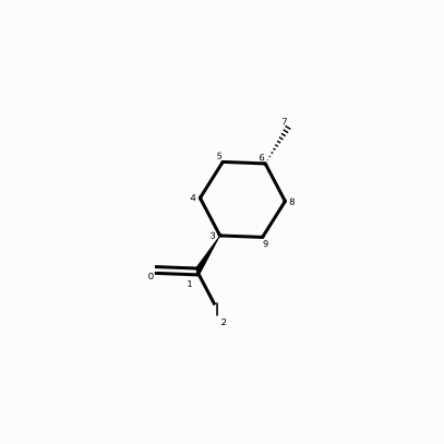 C=C(I)[C@H]1CC[C@H](C)CC1